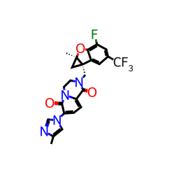 Cc1cn(-c2ccc3n(c2=O)CCN(C[C@]24C[C@@]2(C)Oc2c(F)cc(C(F)(F)F)cc24)C3=O)cn1